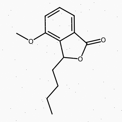 CCCCC1OC(=O)c2cccc(OC)c21